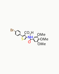 COc1cc(C(=O)Nc2csc(-c3ccc(Br)cc3)c2C(=O)O)cc(OC)c1OC